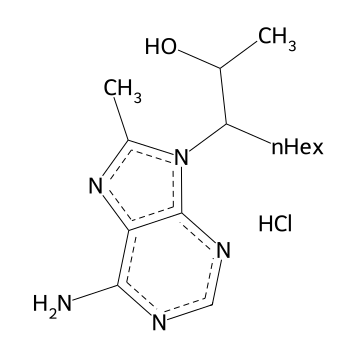 CCCCCCC(C(C)O)n1c(C)nc2c(N)ncnc21.Cl